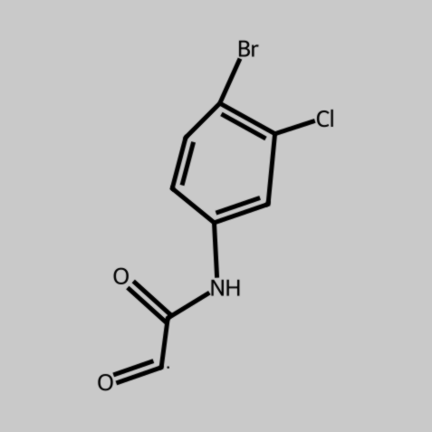 O=[C]C(=O)Nc1ccc(Br)c(Cl)c1